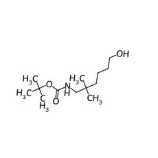 CC(C)(CCCCO)CNC(=O)OC(C)(C)C